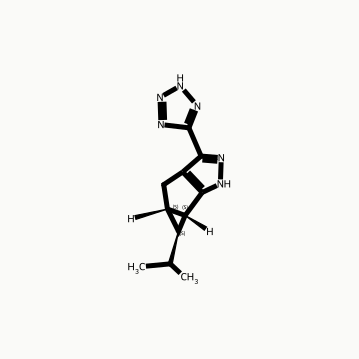 CC(C)[C@H]1[C@@H]2Cc3c(-c4nn[nH]n4)n[nH]c3[C@@H]21